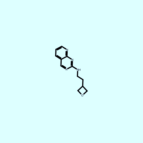 c1cnc2nc(NCCC3COC3)ncc2c1